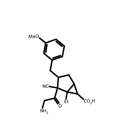 CCC12C(CC(Cc3cccc(OC)c3)C1(C#N)C(=O)CN)C2C(=O)O